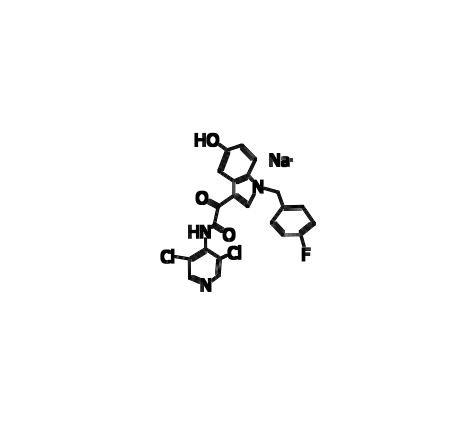 O=C(Nc1c(Cl)cncc1Cl)C(=O)c1cn(Cc2ccc(F)cc2)c2ccc(O)cc12.[Na]